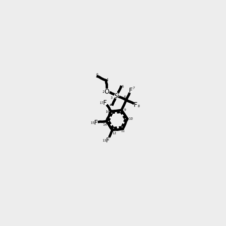 CCO[Si](C)(C)C(F)(F)c1ccc(F)c(F)c1F